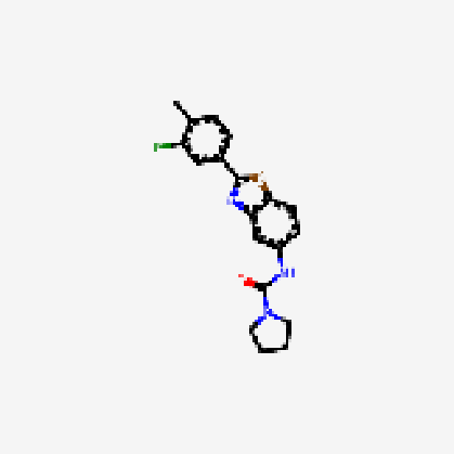 Cc1ccc(-c2nc3cc(NC(=O)N4CCCC4)ccc3s2)cc1F